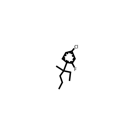 CCCC(C)(CC)c1ccc(Cl)cc1F